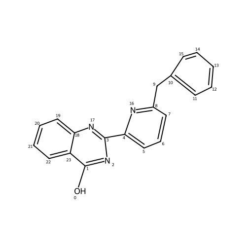 Oc1nc(-c2cccc(Cc3ccccc3)n2)nc2ccccc12